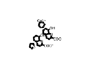 O=C([O-])c1ccc2cccc(O)c2n1.O=C([O-])c1ccc2cccc(O)c2n1.[Cu+2].c1ccccc1.c1ccsc1